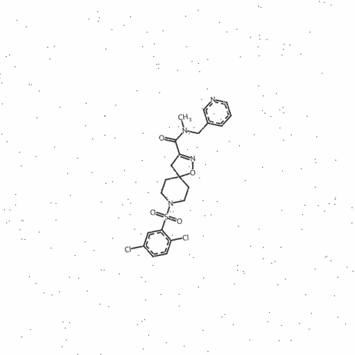 CN(Cc1cccnc1)C(=O)C1=NOC2(CCN(S(=O)(=O)c3cc(Cl)ccc3Cl)CC2)C1